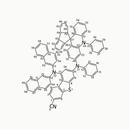 N#Cc1ccc2c(c1)sc1cc(N(c3ccccc3)c3ccc4c(c3)N(c3ccccc3)c3ccccc3C43c4ccccc4C4C=CC=CC43)cc(N(c3ccc4ccccc4c3)c3ccc4ccccc4c3)c12